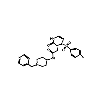 Cc1ccc(S(=O)(=O)N2C=CNC(=O)[C@H]2CC(=O)NC2CCN(Cc3ccncc3)CC2)cc1